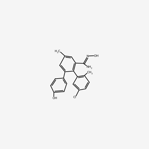 Cc1cc(/C(N)=N/O)c(-c2cc(Cl)ccc2C)c(-c2ccc(O)cc2)c1